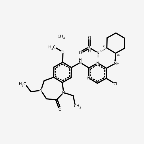 C.CCN1CC(=O)N(CC)c2cc(Nc3ncc(Cl)c(N[C@@H]4CCCC[C@H]4N[SH](=O)=O)n3)c(OC)cc2C1